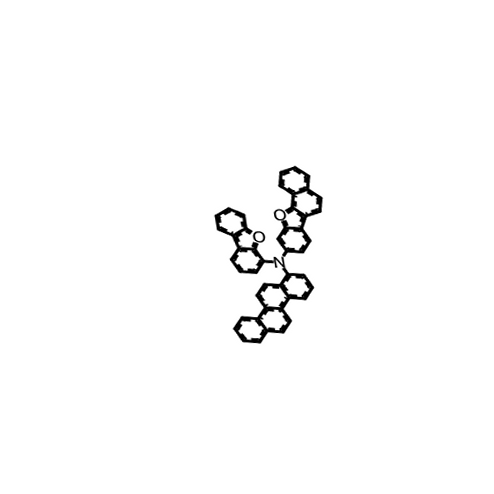 c1ccc2c(c1)ccc1c3cccc(N(c4ccc5c(c4)oc4c6ccccc6ccc54)c4cccc5c4oc4ccccc45)c3ccc21